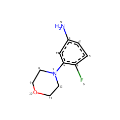 Nc1[c]cc(F)c(N2CCOCC2)c1